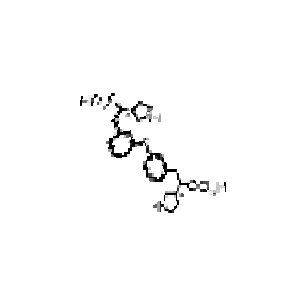 O=C(O)C(Cc1cccc(Sc2cccc(CC(C(=O)O)[C@H]3CCNC3)c2)c1)[C@H]1CCNC1